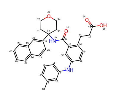 Cc1cccc(Nc2ccc(CCC(=O)O)c(C(=O)NC3(c4ccc5ccccc5c4)CCOCC3)c2)c1